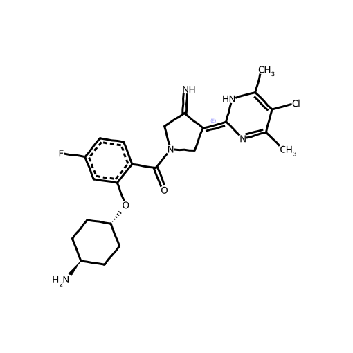 CC1=N/C(=C2\CN(C(=O)c3ccc(F)cc3O[C@H]3CC[C@H](N)CC3)CC2=N)NC(C)=C1Cl